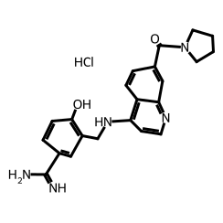 Cl.N=C(N)c1ccc(O)c(CNc2ccnc3cc(C(=O)N4CCCC4)ccc23)c1